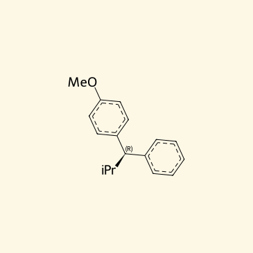 COc1ccc([C@@H](c2ccccc2)C(C)C)cc1